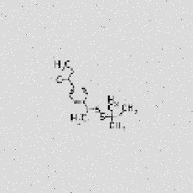 CCC(=O)c1ccc(C(C)SSC(C)(C)CC)cc1